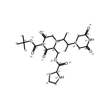 CC(C(C)N1CC(=O)N(C(=O)OC(C)(C)C)C(=O)C1COC(=O)C1NCCS1)N1CC(=O)NC(=O)C1